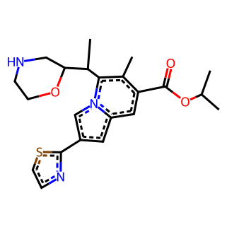 Cc1c(C(=O)OC(C)C)cc2cc(-c3nccs3)cn2c1C(C)C1CNCCO1